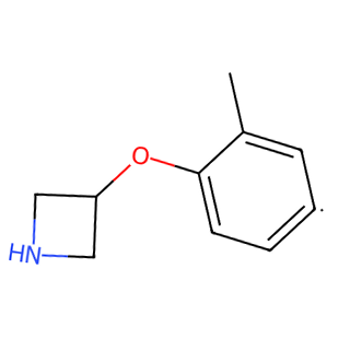 Cc1c[c]ccc1OC1CNC1